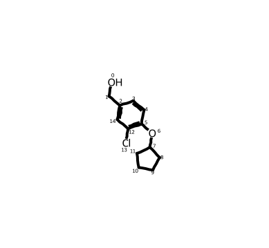 OCc1ccc(OC2CCCC2)c(Cl)c1